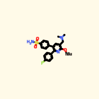 CCCCOc1nc(-c2ccc(F)cc2)c(-c2ccc(S(N)(=O)=O)cc2)cc1CN(C)C